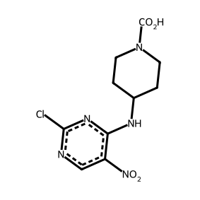 O=C(O)N1CCC(Nc2nc(Cl)ncc2[N+](=O)[O-])CC1